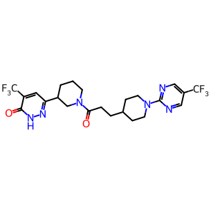 O=C(CCC1CCN(c2ncc(C(F)(F)F)cn2)CC1)N1CCCC(c2cc(C(F)(F)F)c(=O)[nH]n2)C1